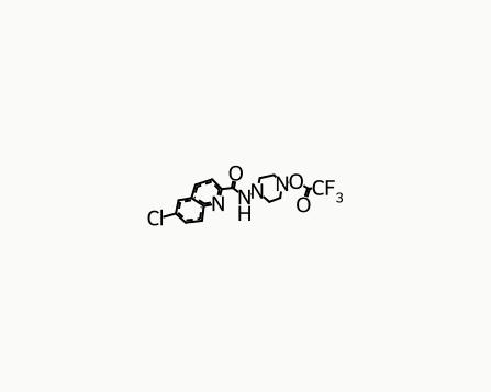 O=C(NN1CCN(OC(=O)C(F)(F)F)CC1)c1ccc2cc(Cl)ccc2n1